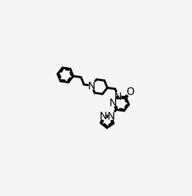 O=c1ccc(-n2cccn2)nn1CC1CCN(CCc2ccccc2)CC1